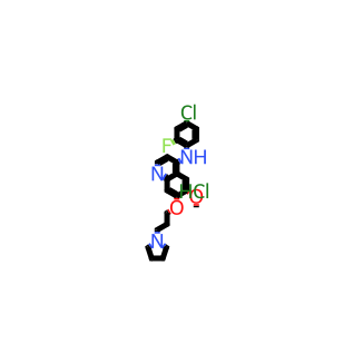 COc1cc2c(Nc3ccc(Cl)cc3F)ccnc2cc1OCCCN1CCCC1.Cl